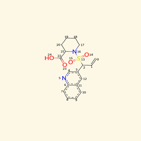 C=CC(c1cnc2ccccc2c1)S(=O)(=O)N1CCCCC1C(=O)O